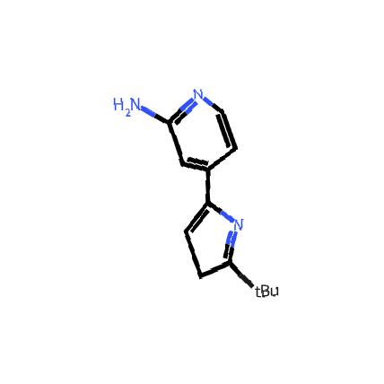 CC(C)(C)C1=NC(c2ccnc(N)c2)=CC1